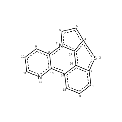 c1cc2sc3ccn4c5cccnc5c(c1)c2c34